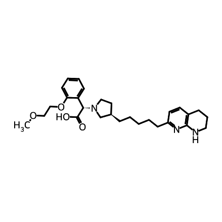 COCCOc1ccccc1[C@@H](C(=O)O)N1CC[C@@H](CCCCCc2ccc3c(n2)NCCC3)C1